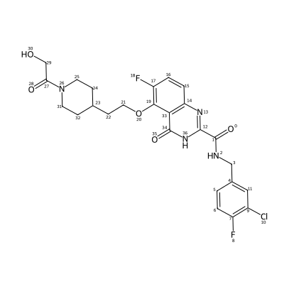 O=C(NCc1ccc(F)c(Cl)c1)c1nc2ccc(F)c(OCCC3CCN(C(=O)CO)CC3)c2c(=O)[nH]1